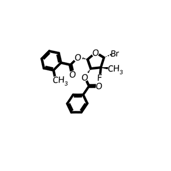 Cc1ccccc1C(=O)O[C@@H]1O[C@H](Br)[C@](C)(F)[C@@H]1OC(=O)c1ccccc1